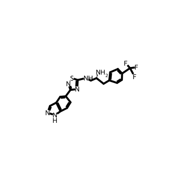 N[C@@H](CNc1nc(-c2ccc3[nH]ncc3c2)ns1)Cc1ccc(C(F)(F)F)cc1